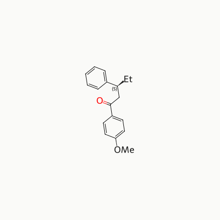 CC[C@@H](CC(=O)c1ccc(OC)cc1)c1ccccc1